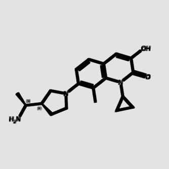 Cc1c(N2CC[C@@H]([C@H](C)N)C2)ccc2cc(O)c(=O)n(C3CC3)c12